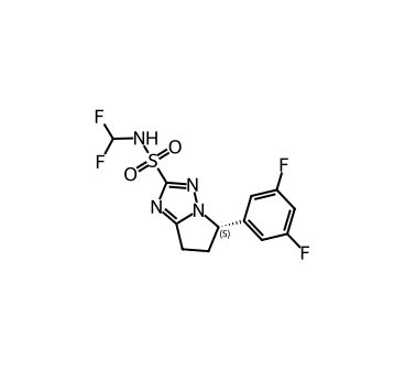 O=S(=O)(NC(F)F)c1nc2n(n1)[C@H](c1cc(F)cc(F)c1)CC2